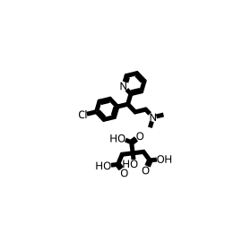 CN(C)CCC(c1ccc(Cl)cc1)c1ccccn1.O=C(O)CC(O)(CC(=O)O)C(=O)O